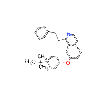 CC(C)(C)c1ccc(Oc2ccc3ccnc(CCc4ccccc4)c3c2)cc1